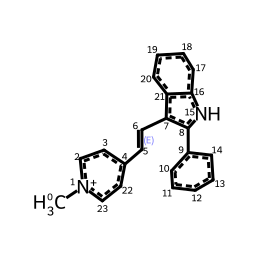 C[n+]1ccc(/C=C/c2c(-c3ccccc3)[nH]c3ccccc23)cc1